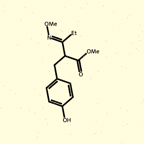 CCC(=NOC)C(Cc1ccc(O)cc1)C(=O)OC